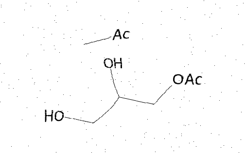 CC(=O)OCC(O)CO.CC(C)=O